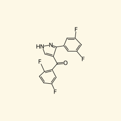 O=C(c1cc(F)ccc1F)c1c[nH]nc1-c1cc(F)cc(F)c1